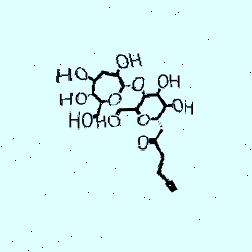 C#CCCC(=O)C[C@@H]1OC(CO)[C@@H](O[C@@H]2OC(CO)[C@H](O)C(O)CC2O)C(O)C1O